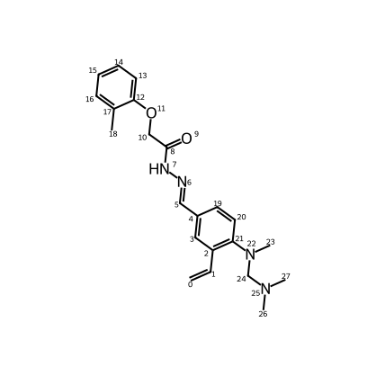 C=Cc1cc(/C=N/NC(=O)COc2ccccc2C)ccc1N(C)CN(C)C